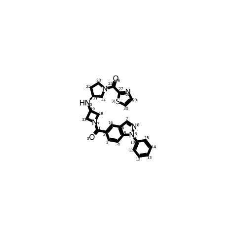 O=C(c1ccc2c(cnn2-c2ccccc2)c1)N1CC(N[C@H]2CCN(C(=O)c3nccs3)C2)C1